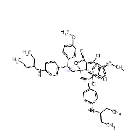 CCC(CC)Nc1ccc(/C(=C/C2(/C=C(/c3ccc(NC(CC)CC)cc3)c3ccc(OC)cc3)OC(=O)c3c(Cl)c(Cl)c(Cl)c(Cl)c32)c2ccc(OC)cc2)cc1